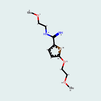 CC(C)(C)OCCNC(=N)c1ccc(OCCOC(C)(C)C)s1